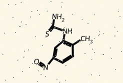 Cc1ccc(N=O)cc1NC(N)=S